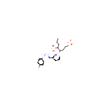 CCCC(C(CCCS(=O)(=O)O)[n+]1cccc(C=NN(C)c2ccc(Cl)cc2)c1)S(=O)(=O)O